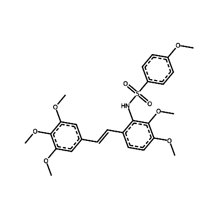 COc1ccc(S(=O)(=O)Nc2c(C=Cc3cc(OC)c(OC)c(OC)c3)ccc(OC)c2OC)cc1